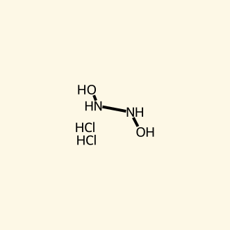 Cl.Cl.ONNO